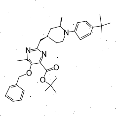 Cc1nc(C[C@@H]2CCN(c3ccc(C(C)(C)C)cc3)[C@H](C)C2)nc(C(=O)OC(C)(C)C)c1OCc1ccccc1